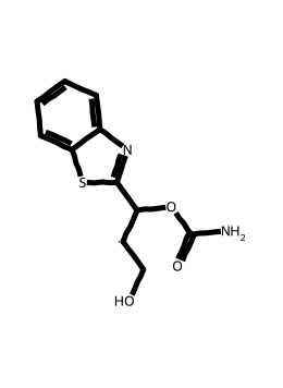 NC(=O)OC([CH]CO)c1nc2ccccc2s1